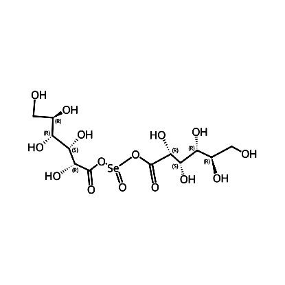 O=C(O[Se](=O)OC(=O)[C@H](O)[C@@H](O)[C@H](O)[C@H](O)CO)[C@H](O)[C@@H](O)[C@H](O)[C@H](O)CO